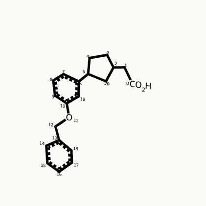 O=C(O)CC1CCC(c2cccc(OCc3ccccc3)c2)C1